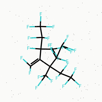 FC(F)=C(C(F)(C(F)(F)F)C(F)(F)C(F)(F)F)C(C(F)(F)F)(C(F)(F)C(F)(F)F)C(F)(F)C(F)(F)F